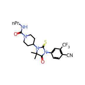 CCCNC(=O)N1CCC(N2C(=S)N(c3ccc(C#N)c(C(F)(F)F)c3)C(=O)C2(C)C)CC1